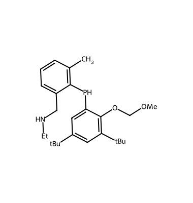 CCNCc1cccc(C)c1Pc1cc(C(C)(C)C)cc(C(C)(C)C)c1OCOC